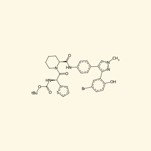 Cn1cc(-c2ccc(NC(=O)[C@@H]3CCCCN3C(=O)[C@H](NC(=O)OC(C)(C)C)c3cccs3)cc2)c(-c2cc(Br)ccc2O)n1